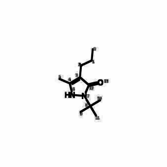 CCCc1c(C)[nH]n(C(C)(C)C)c1=O